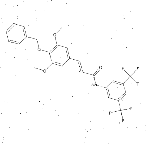 COc1cc(/C=C/C(=O)Nc2cc(C(F)(F)F)cc(C(F)(F)F)c2)cc(OC)c1OCc1ccccc1